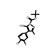 Cc1nn(C(=O)OC(C)(C)C)c(O)c1-c1ccc(Cl)c(F)c1